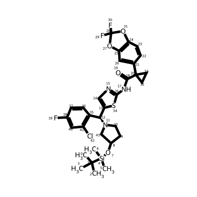 CC(C)(C)[Si](C)(C)OC1CCN([C@H](c2cnc(NC(=O)C3(c4ccc5c(c4)OC(F)(F)O5)CC3)s2)c2ccc(F)cc2Cl)C1